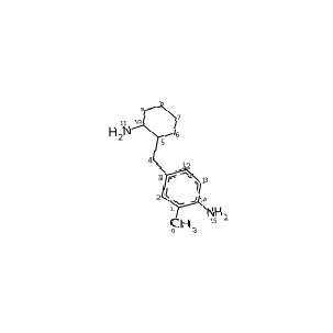 Cc1cc(CC2CCCCC2N)ccc1N